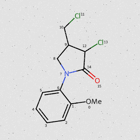 COc1ccccc1N1CC(CCl)C(Cl)C1=O